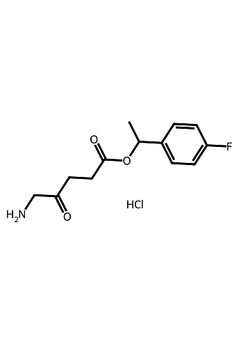 CC(OC(=O)CCC(=O)CN)c1ccc(F)cc1.Cl